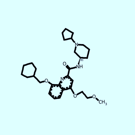 COCCOc1cc(C(=O)N[C@@H]2CCCN(C3CCCC3)C2)nc2c(OCC3CCCCC3)cccc12